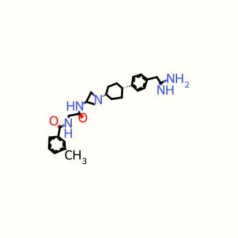 Cc1cccc(C(=O)NCC(=O)NC2CN([C@H]3CC[C@@H](c4ccc(CC(=N)N)cc4)CC3)C2)c1